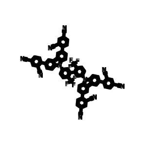 N#Cc1ccc(-c2ccc3c(c2)c2cc(-c4ccc(C#N)cc4C#N)ccc2n3-c2ccc(C(F)(F)F)c(-c3cc(-n4c5ccc(-c6ccc(C#N)cc6C#N)cc5c5cc(-c6ccc(C#N)cc6C#N)ccc54)ccc3C(F)(F)F)c2)c(C#N)c1